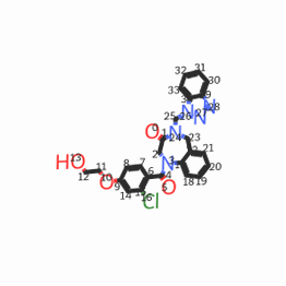 O=C1CN(C(=O)c2ccc(OCCO)cc2Cl)c2ccccc2CN1Cn1nnc2ccccc21